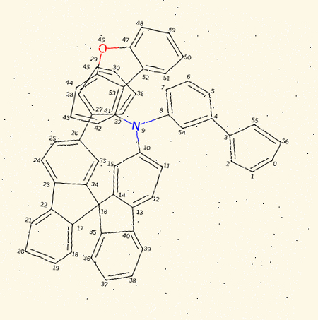 c1ccc(-c2cccc(N(c3ccc4c(c3)C3(c5ccccc5-c5ccc(-c6ccccc6)cc53)c3ccccc3-4)c3cccc4oc5ccccc5c34)c2)cc1